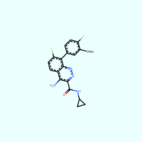 COc1cc(-c2c(F)ccc3c(N)c(C(=O)NC4CC4)nnc23)ccc1F